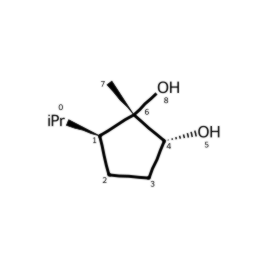 CC(C)[C@@H]1CC[C@@H](O)[C@@]1(C)O